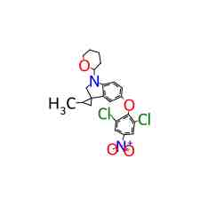 CC1CC12CN(C1CCCCO1)c1ccc(Oc3c(Cl)cc([N+](=O)[O-])cc3Cl)cc12